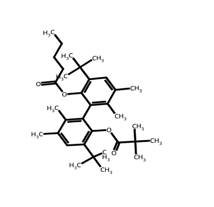 CCCCC(=O)Oc1c(C(C)(C)C)cc(C)c(C)c1-c1c(C)c(C)cc(C(C)(C)C)c1OC(=O)C(C)(C)C